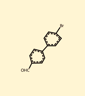 O=Cc1ccc(-c2ccc(Br)cc2)cc1